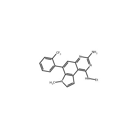 CCNc1nc(N)nc2cc(-c3ccccc3C(F)(F)F)c3c(ccn3C)c12